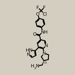 NC[C@@H]1CCN(c2ncc(C(=O)Nc3ccc(OC(F)(F)Cl)cc3)cc2-c2ccn[nH]2)C1